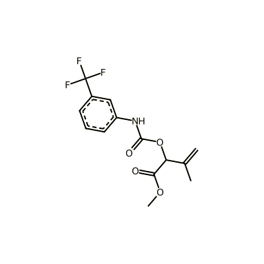 C=C(C)C(OC(=O)Nc1cccc(C(F)(F)F)c1)C(=O)OC